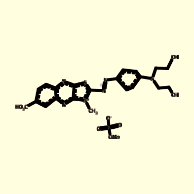 COS(=O)(=O)[O-].C[n+]1c(/N=N/c2ccc(N(CCO)CCO)cc2)sc2nc3ccc(C(=O)O)cc3nc21